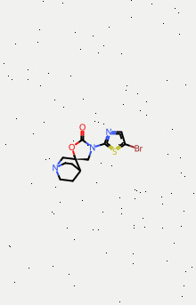 O=C1O[C@]2(CN3CCC2CC3)CN1c1ncc(Br)s1